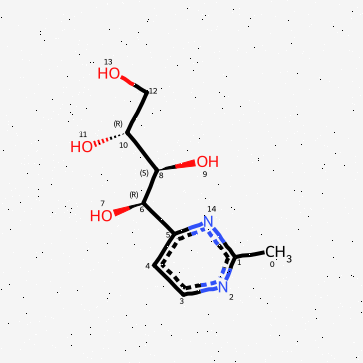 Cc1nccc([C@@H](O)[C@H](O)[C@H](O)CO)n1